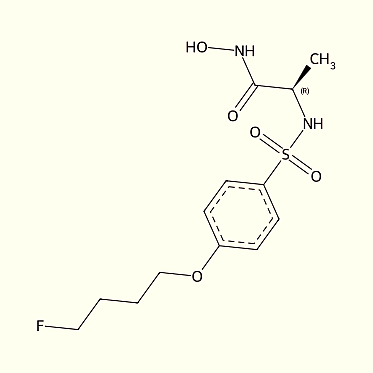 C[C@@H](NS(=O)(=O)c1ccc(OCCCCF)cc1)C(=O)NO